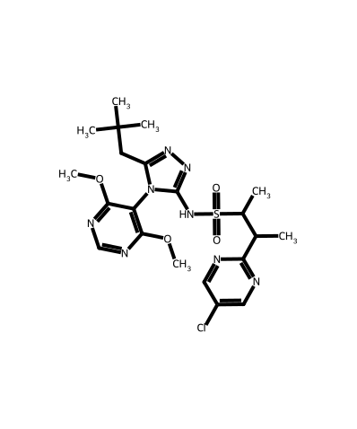 COc1ncnc(OC)c1-n1c(CC(C)(C)C)nnc1NS(=O)(=O)C(C)C(C)c1ncc(Cl)cn1